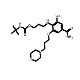 CC(C)(C)NC(=O)OCCCNc1c(N)cc(C(N)=O)cc1OCCCN1CCOCC1